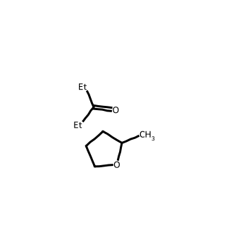 CC1CCCO1.CCC(=O)CC